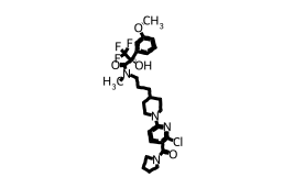 COc1cccc([C@@](O)(C(=O)N(C)CCCC2CCN(c3ccc(C(=O)N4CCCC4)c(Cl)n3)CC2)C(F)(F)F)c1